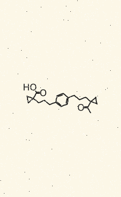 CC(=O)C1(CCCc2ccc(CCCC3(C(=O)O)CC3)cc2)CC1